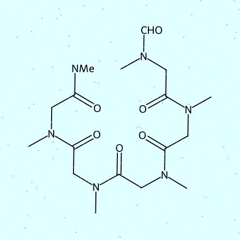 CNC(=O)CN(C)C(=O)CN(C)C(=O)CN(C)C(=O)CN(C)C(=O)CN(C)C=O